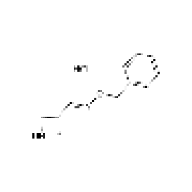 C(=NOCc1ccccc1)C1CNC1.Cl